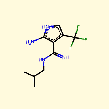 CC(C)CNC(=N)c1c(C(F)(F)F)c[nH]c1N